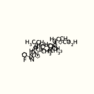 C=C(C)C1CC[C@]2(C(=O)N3CCC[C@H]3c3ncc(-c4ccccc4F)[nH]3)CC[C@]3(C)[C@H](CC[C@@H]4[C@@]5(C)CC[C@H](OC(=O)[C@H]6C[C@@H](C(=O)O)C6(C)C)C(C)(C)[C@@H]5CC[C@]43C)[C@@H]12